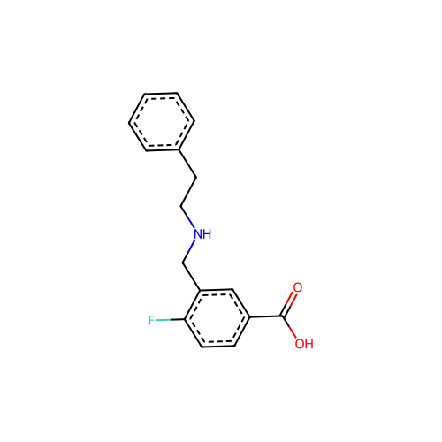 O=C(O)c1ccc(F)c(CNCCc2ccccc2)c1